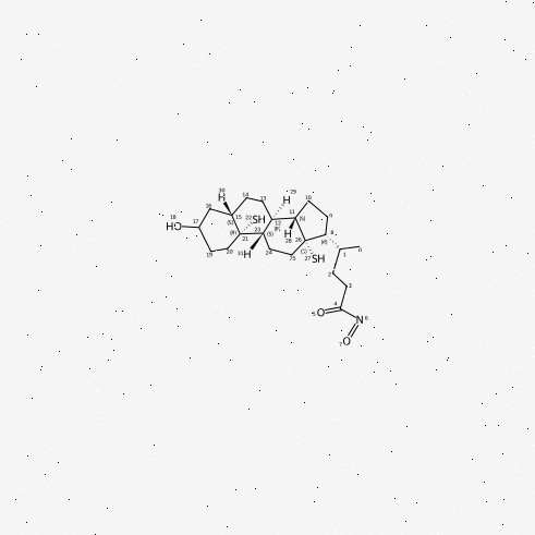 CC(CCC(=O)N=O)[C@H]1CC[C@H]2[C@@H]3CC[C@H]4CC(O)CC[C@]4(S)[C@H]3CC[C@]12S